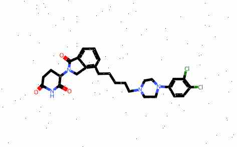 O=C1CCC(N2Cc3c(CCCCCN4CCN(c5ccc(Cl)c(Cl)c5)CC4)cccc3C2=O)C(=O)N1